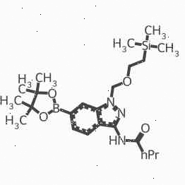 CCCC(=O)Nc1nn(COCC[Si](C)(C)C)c2cc(B3OC(C)(C)C(C)(C)O3)ccc12